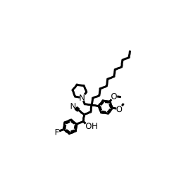 CCCCCCCCCCCC(CC(C#N)C(O)c1ccc(F)cc1)(CN1CCCCC1)c1ccc(OC)c(OC)c1